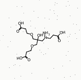 NN(CCC(=O)O)CC(O)(COCCC(=O)O)COCCC(=O)O